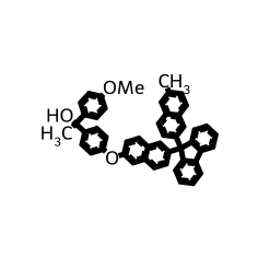 COc1ccc(C(C)(O)c2ccc(Oc3ccc4cc(C5(c6ccc7cc(C)ccc7c6)c6ccccc6-c6ccccc65)ccc4c3)cc2)cc1